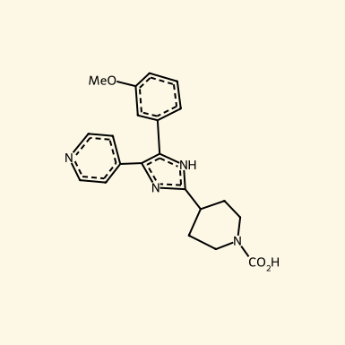 COc1cccc(-c2[nH]c(C3CCN(C(=O)O)CC3)nc2-c2ccncc2)c1